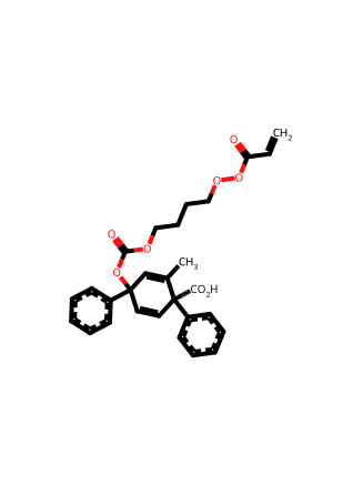 C=CC(=O)OOCCCCOC(=O)OC1(c2ccccc2)C=CC(C(=O)O)(c2ccccc2)C(C)=C1